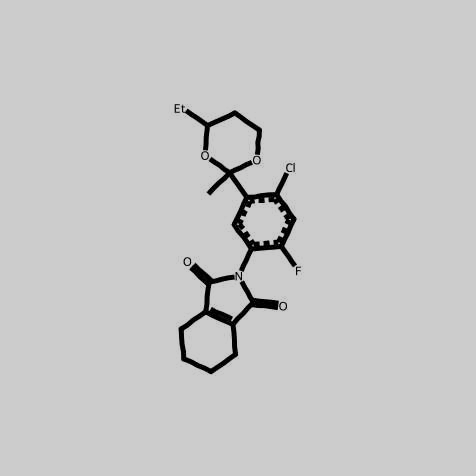 CCC1CCOC(C)(c2cc(N3C(=O)C4=C(CCCC4)C3=O)c(F)cc2Cl)O1